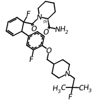 CC(C)(F)CN1CCC(COc2ccc(C3C=CC=CC3(F)C(=O)N3CCCC[C@H]3C(N)=O)cc2F)CC1